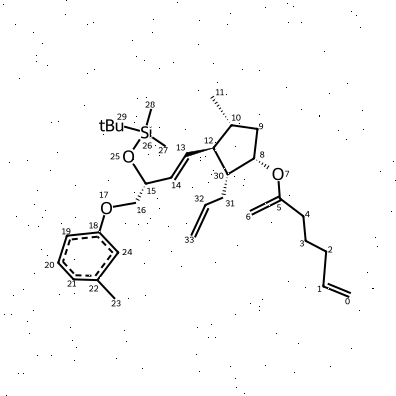 C=CCCCC(=C)O[C@H]1C[C@@H](C)[C@H](/C=C/[C@H](COc2cccc(C)c2)O[Si](C)(C)C(C)(C)C)[C@H]1CC=C